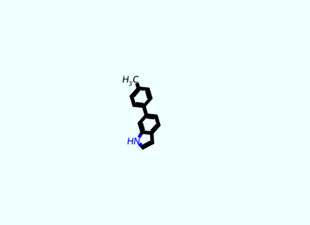 Cc1ccc(-c2ccc3cc[nH]c3c2)cc1